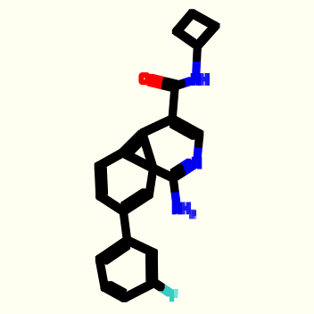 NC1=NC=C(C(=O)NC2CCC2)C2=C3C=CC(c4cccc(F)c4)=CC132